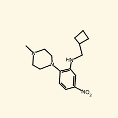 CN1CCN(c2ccc([N+](=O)[O-])cc2NCC2CCC2)CC1